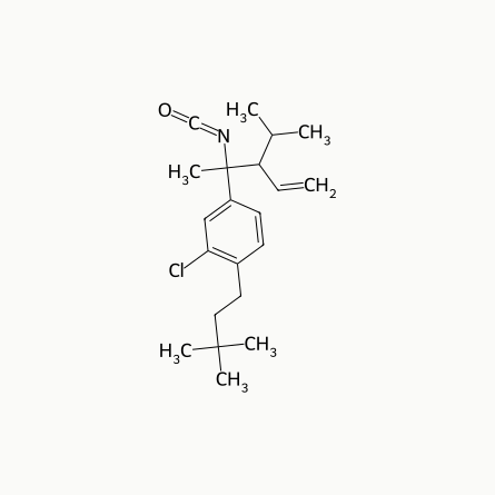 C=CC(C(C)C)C(C)(N=C=O)c1ccc(CCC(C)(C)C)c(Cl)c1